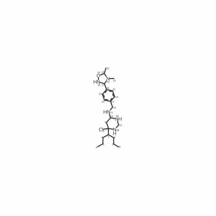 CCCC(CCC)C1(Cl)CC(NCc2ccc(C3NOC(C)N3C)cc2)NCN1